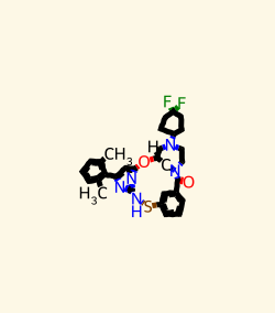 Cc1cccc(C)c1-c1cc2nc(n1)NSc1cccc(c1)C(=O)N1CCN(C3CCC(F)(F)CC3)C[C@H](C1)O2